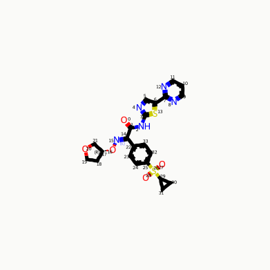 O=C(Nc1ncc(-c2ncccn2)s1)/C(=N/O[C@@H]1CCOC1)c1ccc(S(=O)(=O)C2CC2)cc1